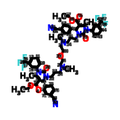 CCOC(=O)C1=C(C)N(c2cccc(C(F)(F)F)c2)C(=O)N(CCCN(C)CCOCCN(C)CCCN2C(=O)N(c3cccc(C(F)(F)F)c3)C(C)=C(C(=O)OCC)[C@H]2c2ccc(C#N)cc2)[C@@H]1c1ccc(C#N)cc1